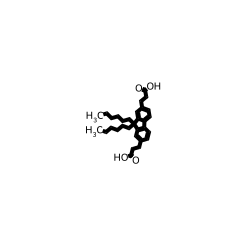 CCCCCCC1(CCCCCC)c2cc(CCC(=O)O)ccc2-c2ccc(CCC(=O)O)cc21